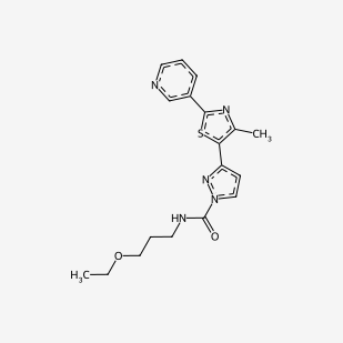 CCOCCCNC(=O)n1ccc(-c2sc(-c3cccnc3)nc2C)n1